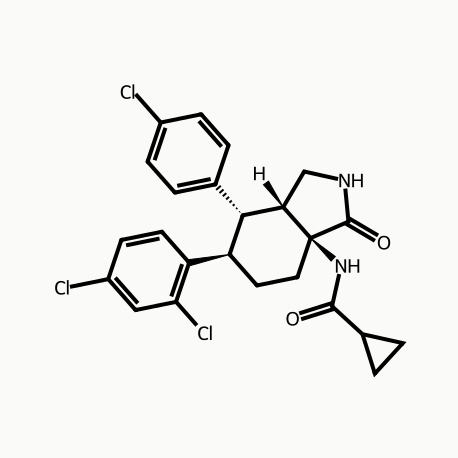 O=C(N[C@@]12CC[C@@H](c3ccc(Cl)cc3Cl)[C@H](c3ccc(Cl)cc3)[C@@H]1CNC2=O)C1CC1